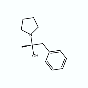 C[C@](O)(Cc1ccccc1)N1CCCC1